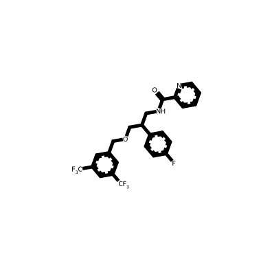 O=C(NCC(COCc1cc(C(F)(F)F)cc(C(F)(F)F)c1)c1ccc(F)cc1)c1ccccn1